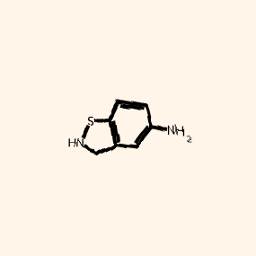 Nc1ccc2c(c1)CNS2